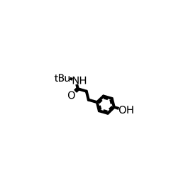 CC(C)(C)NC(=O)CCc1ccc(O)cc1